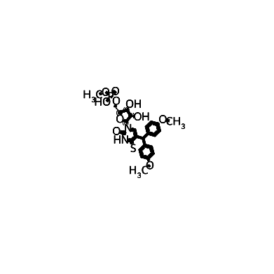 COc1ccc(C(c2ccc(OC)cc2)c2cn([C@@H]3O[C@H](COP(=O)(O)OC)[C@@H](O)[C@H]3O)c(=O)[nH]c2=S)cc1